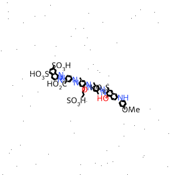 COc1ccc(Nc2ccc3c(O)c(N=Nc4cc(C)c(N=Nc5cc(C)c(N=Nc6ccc(-n7nc8ccc9c(S(=O)(=O)O)cc(S(=O)(=O)O)cc9c8n7)c(C(=O)O)c6)cc5OCCCS(=O)(=O)O)cc4C)c(S(=O)(=O)O)cc3c2)cc1